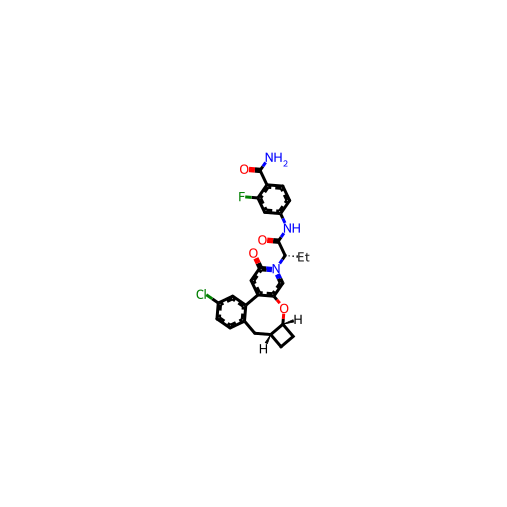 CC[C@@H](C(=O)Nc1ccc(C(N)=O)c(F)c1)n1cc2c(cc1=O)-c1cc(Cl)ccc1C[C@H]1CC[C@H]1O2